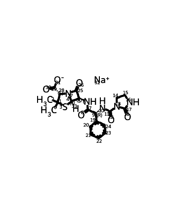 CC1(C)S[C@@H]2[C@H](NC(=O)[C@H](NC(=O)N3CCNC3=O)c3ccccc3)C(=O)N2[C@H]1C(=O)[O-].[Na+]